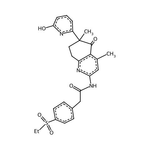 CCS(=O)(=O)c1ccc(CC(=O)Nc2cc(C)c3c(n2)CCC(C)(c2cccc(O)n2)C3=O)cc1